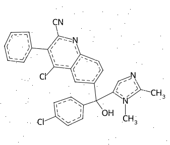 Cc1ncc(C(O)(c2ccc(Cl)cc2)c2ccc3nc(C#N)c(-c4ccccc4)c(Cl)c3c2)n1C